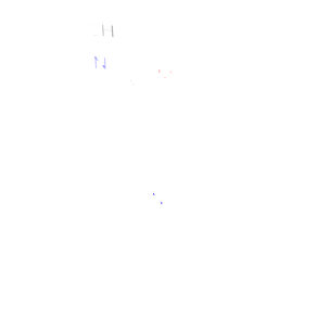 CN1Cc2ccc(N(c3ccccc3)c3ccccc3)cc2C1=O